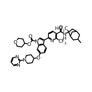 CC1CC2CC(C1)C(NC(=O)c1ccc(-c3cn(C(=O)OC4CCOCC4)c4cc(OC5CCN(c6ncccn6)CC5)ccc34)nc1C(F)(F)F)(C(=O)O)C2